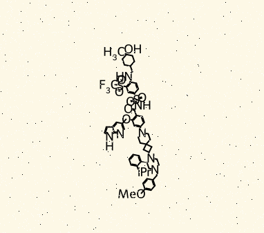 COc1ccc(CN2CCN(C3CC4(CCN(c5ccc(C(=O)NS(=O)(=O)c6ccc(NCC7CCC(C)(O)CC7)c(S(=O)(=O)C(F)(F)F)c6)c(Oc6cnc7[nH]ccc7c6)c5)CC4)C3)[C@H](c3ccccc3C(C)C)C2)cc1